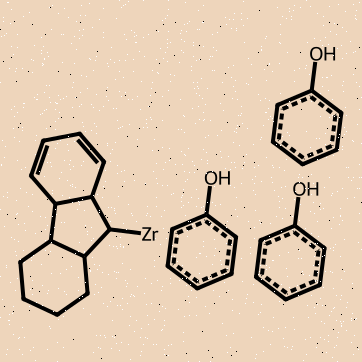 Oc1ccccc1.Oc1ccccc1.Oc1ccccc1.[Zr][CH]1C2C=CC=CC2C2CCCCC12